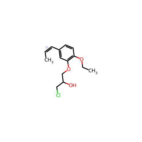 C/C=C\c1ccc(OCC)c(OCC(O)CCl)c1